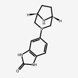 O=c1[nH]c2ccc(N3C[C@H]4CC[C@@H](C3)N4)cc2[nH]1